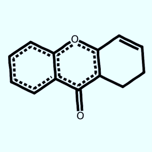 O=c1c2c(oc3ccccc13)C=CCC2